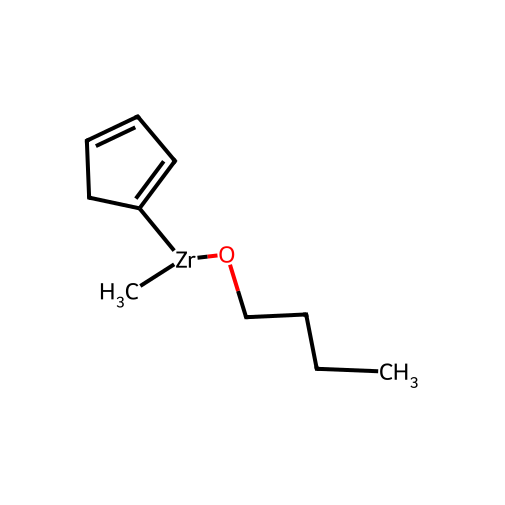 CCCC[O][Zr]([CH3])[C]1=CC=CC1